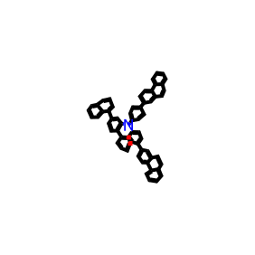 c1ccc(-c2ccc(-c3cccc4ccccc34)cc2N(c2ccc(-c3ccc4c(ccc5ccccc54)c3)cc2)c2ccc(-c3ccc4c(ccc5ccccc54)c3)cc2)cc1